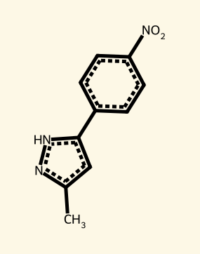 Cc1cc(-c2ccc([N+](=O)[O-])cc2)[nH]n1